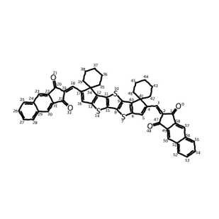 O=C1C(=CC2=Cc3sc4c(sc5c6c(sc54)C=C(C=C4C(=O)c5cc7ccccc7cc5C4=O)C64CCCCC4)c3C23CCCCC3)C(=O)c2cc3ccccc3cc21